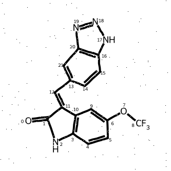 O=C1Nc2ccc(OC(F)(F)F)cc2C1=Cc1ccc2[nH]nnc2c1